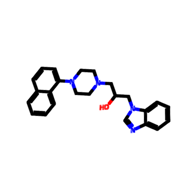 OC(CN1CCN(c2cccc3ccccc23)CC1)Cn1cnc2ccccc21